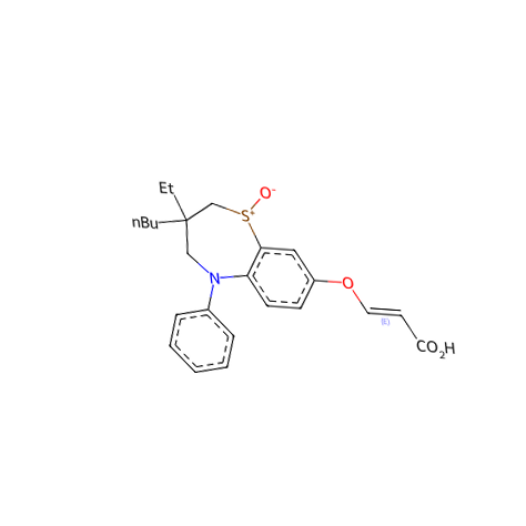 CCCCC1(CC)CN(c2ccccc2)c2ccc(O/C=C/C(=O)O)cc2[S+]([O-])C1